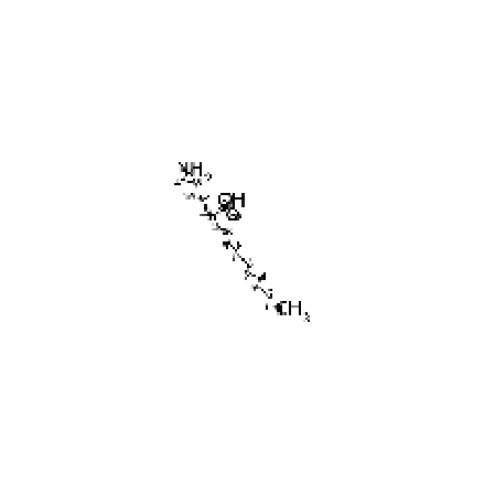 CCCCCCCCCCCCC(CCCCCN)C(=O)O